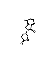 Cc1cccc2c1CN(C1CCC(=O)NC1)C2=O